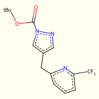 CC(C)(C)OC(=O)n1cc(Cc2cccc(C(F)(F)F)n2)cn1